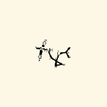 CC(C)OC1(CNS(C)(=O)=O)CC1